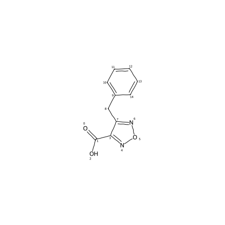 O=C(O)c1nonc1Cc1ccccc1